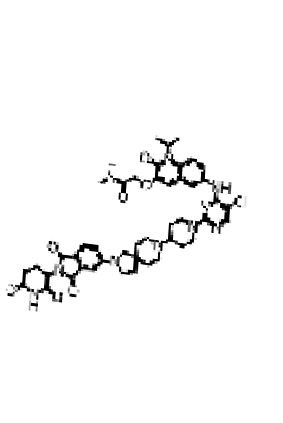 CNC(=O)COc1cc2cc(Nc3nc(N4CCC(N5CCC6(CCN(c7ccc8c(c7)C(=O)N(C7CCC(=O)NC7=O)C8=O)C6)CC5)CC4)ncc3Cl)ccc2n(C(C)C)c1=O